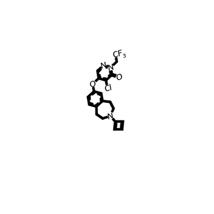 O=c1c(Cl)c(Oc2ccc3c(c2)CCN(C2=CC=C2)CC3)cnn1CC(F)(F)F